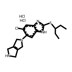 CCC(CC)Sc1nc2cc(Cl)c(N3CC4=C(CNC4)C3)cc2[nH]1.Cl.Cl